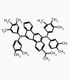 Cc1ccc(N(c2cc(C)c(C)c(C)c2)c2cc3c4ccc(C(C)C)cc4c(N(c4ccc(C)c(C)c4)c4cc(C)c(C)c(C)c4)cc3c3ccccc23)cc1C